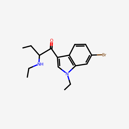 CCNC(CC)C(=O)c1cn(CC)c2cc(Br)ccc12